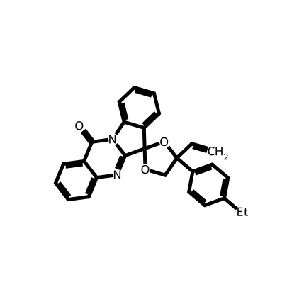 C=CC1(c2ccc(CC)cc2)COC2(O1)c1ccccc1-n1c2nc2ccccc2c1=O